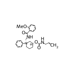 C=CCNC(=O)O[C@@H]1CCC[C@@](CNC(=O)c2ccccc2OC)(c2ccccc2)C1